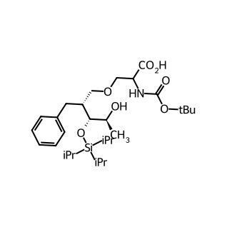 CC(C)[Si](O[C@H]([C@@H](COCC(NC(=O)OC(C)(C)C)C(=O)O)Cc1ccccc1)[C@H](C)O)(C(C)C)C(C)C